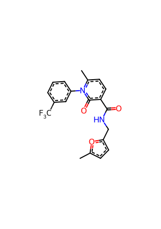 Cc1ccc(CNC(=O)c2ccc(C)n(-c3cccc(C(F)(F)F)c3)c2=O)o1